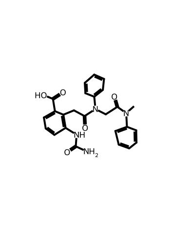 CN(C(=O)CN(C(=O)Cc1c(NC(N)=O)cccc1C(=O)O)c1ccccc1)c1ccccc1